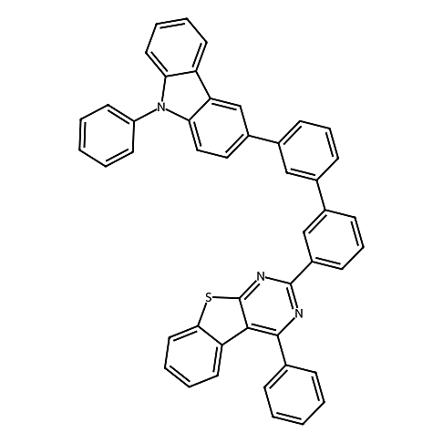 c1ccc(-c2nc(-c3cccc(-c4cccc(-c5ccc6c(c5)c5ccccc5n6-c5ccccc5)c4)c3)nc3sc4ccccc4c23)cc1